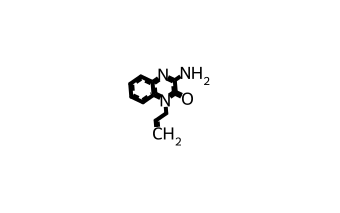 C=CCn1c(=O)c(N)nc2ccccc21